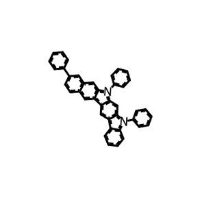 c1ccc(-c2ccc3cc4c5cc6c7ccccc7n(-c7ccccc7)c6cc5n(-c5ccccc5)c4cc3c2)cc1